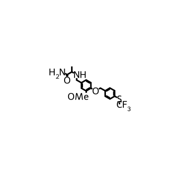 COc1cc(CNC(C)C(N)=O)ccc1OCc1ccc(SC(F)(F)F)cc1